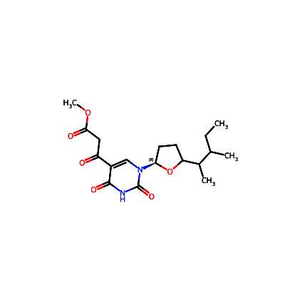 CCC(C)C(C)C1CC[C@H](n2cc(C(=O)CC(=O)OC)c(=O)[nH]c2=O)O1